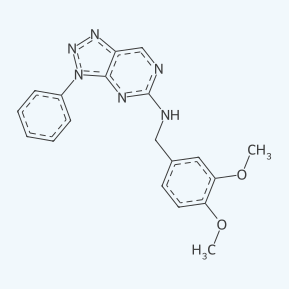 COc1ccc(CNc2ncc3nnn(-c4ccccc4)c3n2)cc1OC